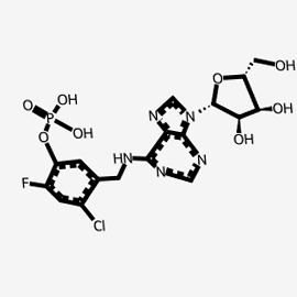 O=P(O)(O)Oc1cc(CNc2ncnc3c2ncn3[C@@H]2O[C@H](CO)[C@@H](O)[C@H]2O)c(Cl)cc1F